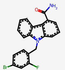 NC(=O)c1cccc2c1c1[c]cccc1n2Cc1ccc(Br)cc1F